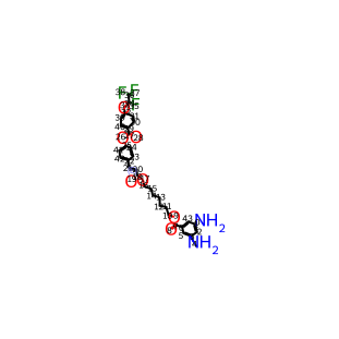 Nc1cc(N)cc(C(=O)OCCCCCCCOC(=O)/C=C/c2ccc(OC(=O)c3ccc(OC(F)C(F)F)cc3)cc2)c1